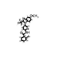 COc1ccc2c(c1)nc(C(F)(F)F)n2-c1ccc(NC(=O)c2ccccc2I)nc1